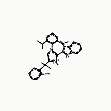 Cc1ccccc1C(C)(C)c1cn(-c2c(C(C)C)cccc2C(C)C)c(-c2nc3ccccc3n2C)[n+]1C